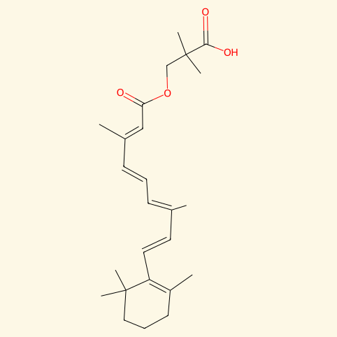 CC(C=CC1=C(C)CCCC1(C)C)=CC=CC(C)=CC(=O)OCC(C)(C)C(=O)O